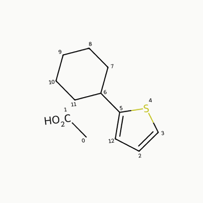 CC(=O)O.c1csc(C2CCCCC2)c1